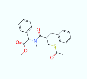 COC(=O)[C@H](c1ccccc1)N(C)C(=O)C(CSC(C)=O)Cc1ccccc1